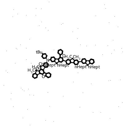 CCCCCCCC1(CCCCCCC)c2ccccc2-c2ccc(-c3ccc4c(c3)C(C)(C)c3cc(-c5cc6c(c7c5oc5ccccc57)-c5ccc(N(c7ccc(C(C)(C)C)cc7)c7ccc8c(c7)C(C)(C)c7c9c(c%10oc%11ccccc%11c%10c7-8)-c7ccccc7C9(C)C)cc5C6(CCCCCCC)CCCCCCC)ccc3-4)cc21